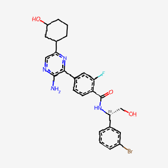 Nc1ncc(C2CCCC(O)C2)nc1-c1ccc(C(=O)N[C@H](CO)c2cccc(Br)c2)c(F)c1